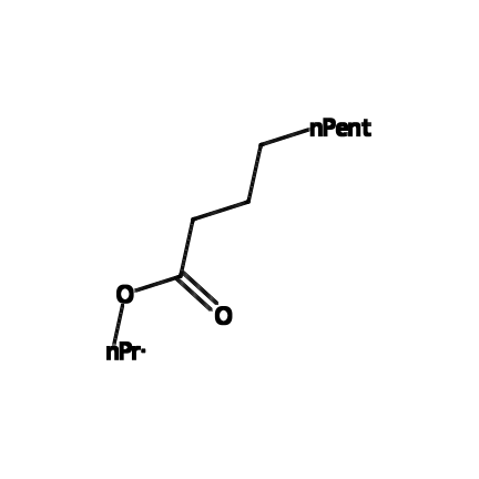 CC[CH]OC(=O)CCCCCCCC